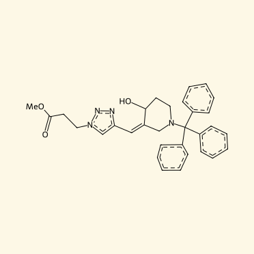 COC(=O)CCn1cc(C=C2CN(C(c3ccccc3)(c3ccccc3)c3ccccc3)CCC2O)nn1